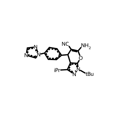 CC(C)c1nn(C(C)(C)C)c2c1C(c1ccc(-n3cncn3)cc1)C(C#N)=C(N)O2